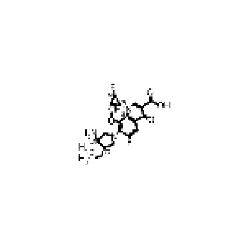 CC[C@@H]1CN(c2c(F)cc3c(=O)c(C(=O)O)cn([C@@H]4C[C@@H]4F)c3c2OC)C[C@]1(C)N